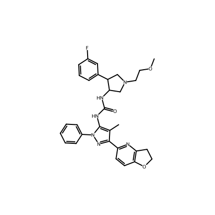 COCCN1CC(NC(=O)Nc2c(C)c(-c3ccc4c(n3)CCO4)nn2-c2ccccc2)C(c2cccc(F)c2)C1